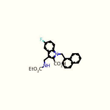 CCOC(=O)NCc1c(C(=O)O)n(Cc2cccc3ccccc23)c2ccc(F)cc12